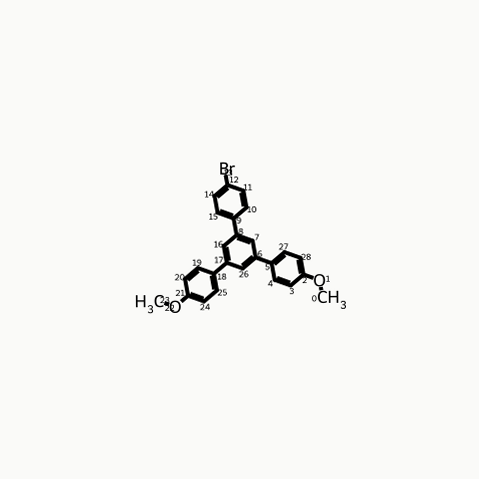 COc1ccc(-c2cc(-c3ccc(Br)cc3)cc(-c3ccc(OC)cc3)c2)cc1